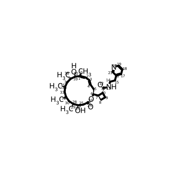 C/C1=C/C=C/C[C@@H]([C@@H]2CC[C@H]2C(=O)NCCc2cccnc2)OC(=O)C[C@H](O)[C@@H](C)C[C@@H](C)C[C@@H](C)C[C@H](C)[C@H]1O